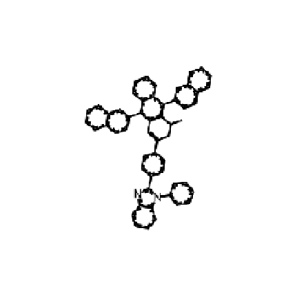 CC1CC(c2ccc(-c3nc4ccccc4n3-c3ccccc3)cc2)=Cc2c1c(-c1ccc3ccccc3c1)c1ccccc1c2-c1ccc2ccccc2c1